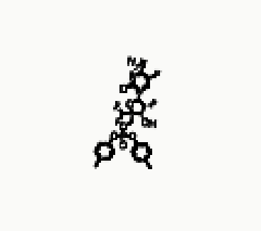 Cc1ccc(OP(=O)(OC[C@@]2(C(F)F)O[C@@H](n3cc(F)c(N)nc3=O)[C@H](F)[C@@H]2O)Oc2ccc(C)cc2)cc1